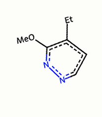 CCc1ccnnc1OC